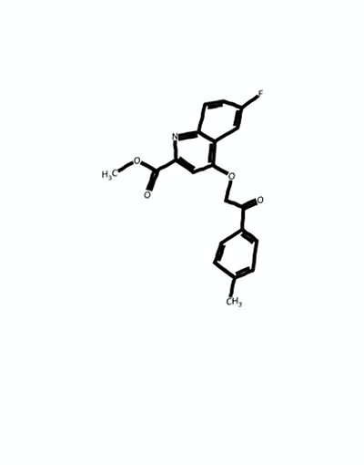 COC(=O)c1cc(OCC(=O)c2ccc(C)cc2)c2cc(F)ccc2n1